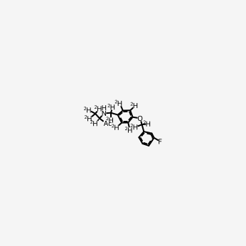 [2H]c1c([2H])c(C([2H])([2H])N[C@]([2H])(C(C)=O)C([2H])([2H])[2H])c([2H])c([2H])c1OC([2H])([2H])c1cccc(F)c1